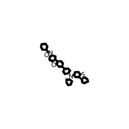 c1ccc(-c2nc3cc4c(cc3o2)oc2cc(-c3ccc(N(c5ccccc5)c5ccc6sc7ccccc7c6c5)cc3)ccc24)cc1